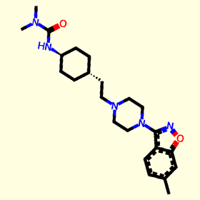 Cc1ccc2c(N3CCN(CC[C@H]4CC[C@H](NC(=O)N(C)C)CC4)CC3)noc2c1